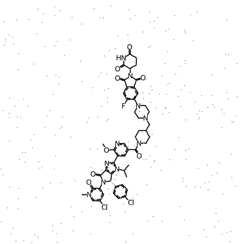 COc1ncc(C(=O)N2CCC(CN3CCN(c4cc5c(cc4F)C(=O)N(C4CCC(=O)NC4=O)C5=O)CC3)CC2)cc1-c1nc2c(n1C(C)C)[C@H](c1ccc(Cl)cc1)N(c1cc(Cl)cn(C)c1=O)C2=O